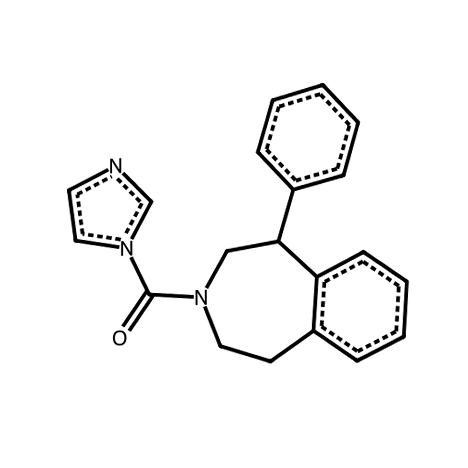 O=C(N1CCc2ccccc2C(c2ccccc2)C1)n1ccnc1